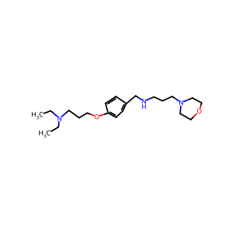 CCN(CC)CCCOc1ccc(CNCCCN2CCOCC2)cc1